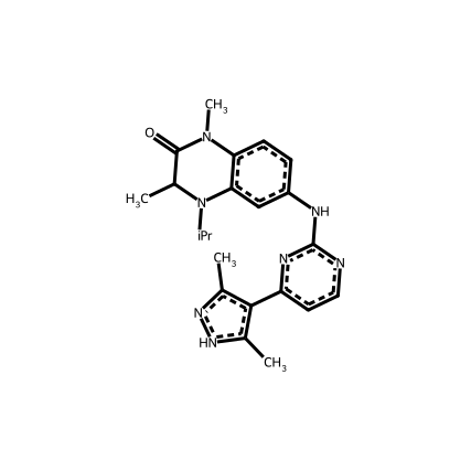 Cc1n[nH]c(C)c1-c1ccnc(Nc2ccc3c(c2)N(C(C)C)C(C)C(=O)N3C)n1